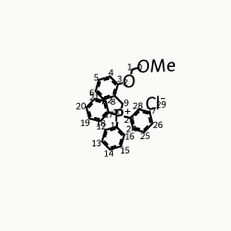 COCOc1ccccc1C[P+](c1ccccc1)(c1ccccc1)c1ccccc1.[Cl-]